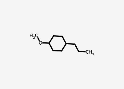 CCCC1CCC(OC)CC1